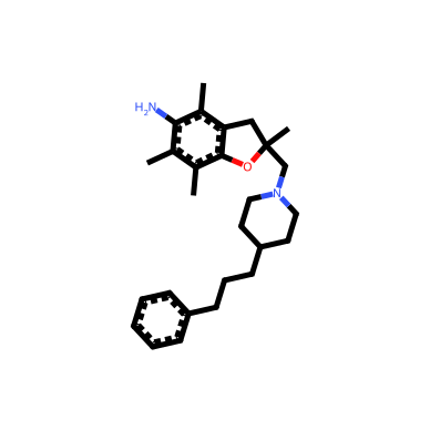 Cc1c(C)c2c(c(C)c1N)CC(C)(CN1CCC(CCCc3ccccc3)CC1)O2